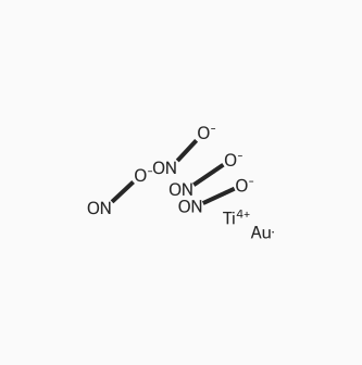 O=N[O-].O=N[O-].O=N[O-].O=N[O-].[Au].[Ti+4]